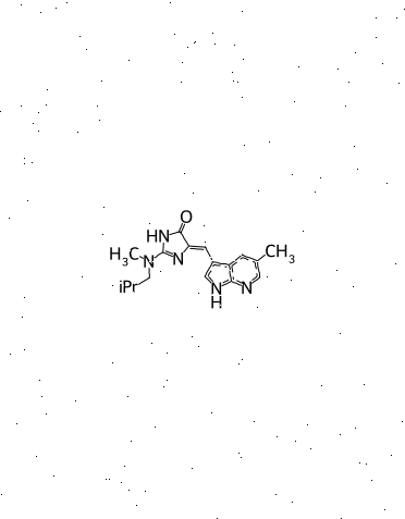 Cc1cnc2[nH]cc(C=C3N=C(N(C)CC(C)C)NC3=O)c2c1